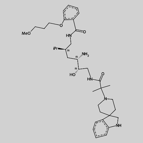 COCCCOc1ccccc1C(=O)NC[C@@H](C[C@H](N)[C@@H](O)CNC(=O)C(C)(C)N1CCC2(CC1)CNc1ccccc12)C(C)C